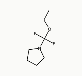 CCOC(F)(F)N1CCCC1